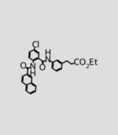 CCOC(=O)CCc1cccc(NC(=O)c2cc(Cl)ccc2NC(=O)c2ccc3ccccc3c2)c1